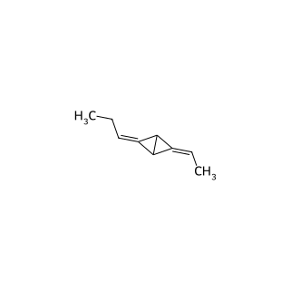 CC=C1C2C(=CCC)C12